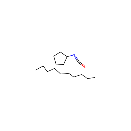 CCCCCCCCCC.O=C=NC1CCCC1